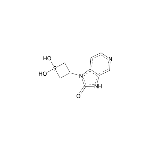 O=c1[nH]c2cnccc2n1C1CS(O)(O)C1